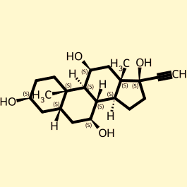 C#C[C@]1(O)CC[C@H]2[C@H]3[C@H]([C@@H](O)C[C@@]21C)[C@@]1(C)CC[C@H](O)C[C@H]1C[C@@H]3O